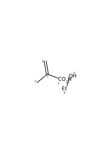 C=C(C)C(=O)O.CCO